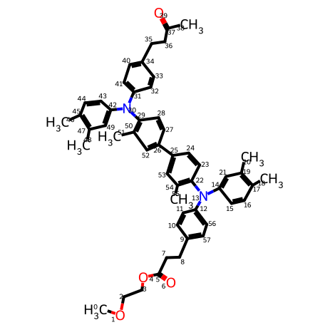 COCCOC(=O)CCc1ccc(N(c2ccc(C)c(C)c2)c2ccc(-c3ccc(N(c4ccc(CCC(C)=O)cc4)c4ccc(C)c(C)c4)c(C)c3)cc2C)cc1